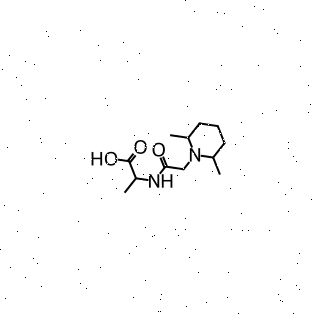 CC(NC(=O)CN1C(C)CCCC1C)C(=O)O